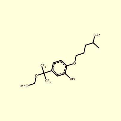 CCCc1cc(C(OCOC)(C(F)(F)F)C(F)(F)F)ccc1OCCCC(C)OC(C)=O